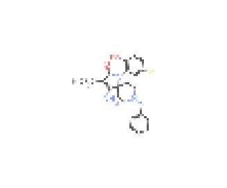 CCOC(=O)C1=C(N)C2(CCN(Cc3ccccc3)CC2)N(c2cc(F)ccc2Br)C1=O